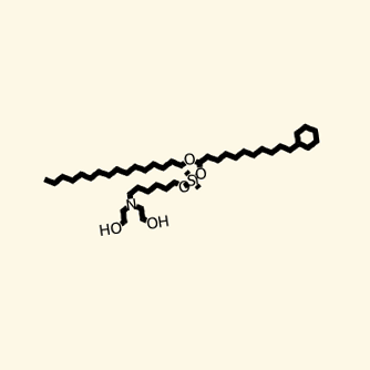 CCCCCCCCCCCCCCCCOC(CCCCCCCCCCC1CCCCC1)O[Si](C)(C)OCCCCCCN(CCO)CCO